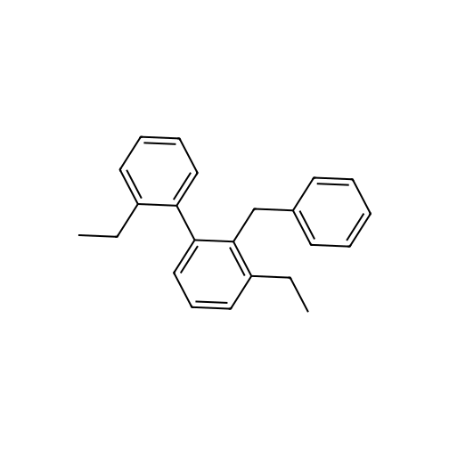 CCc1ccccc1-c1cccc(CC)c1Cc1ccccc1